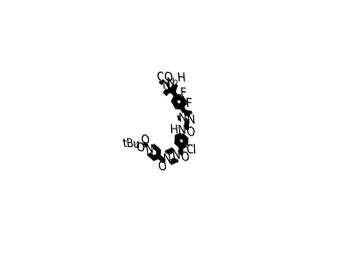 Cc1c(-c2ccc(-c3cnc(C(=O)Nc4ccc(C(=O)N5CCN(C(=O)C6CCN(C(=O)OC(C)(C)C)CC6)CC5)c(Cl)c4)n3C)c(F)c2F)cnn1CC(=O)O